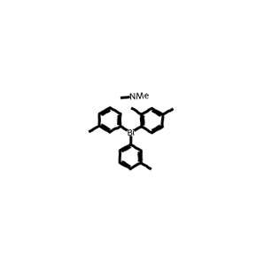 CNC.Cc1ccc[c]([Bi]([c]2cccc(C)c2)[c]2ccc(C)cc2C)c1